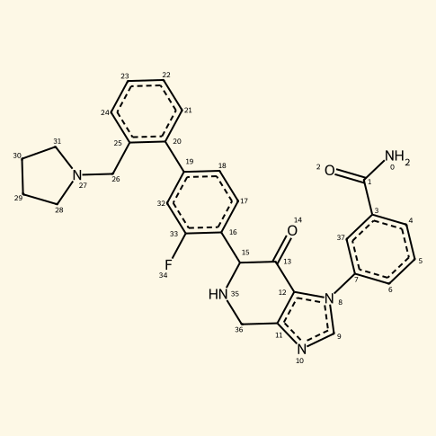 NC(=O)c1cccc(-n2cnc3c2C(=O)C(c2ccc(-c4ccccc4CN4CCCC4)cc2F)NC3)c1